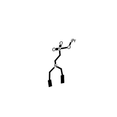 C#CCN(CC#C)CCS(=O)(=O)OC(C)C